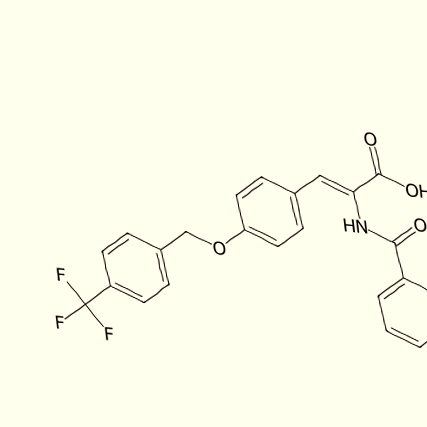 O=C(O)C(=Cc1ccc(OCc2ccc(C(F)(F)F)cc2)cc1)NC(=O)c1ccccc1